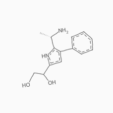 C[C@H](N)c1[nH]c(C(O)CO)cc1-c1ccccc1